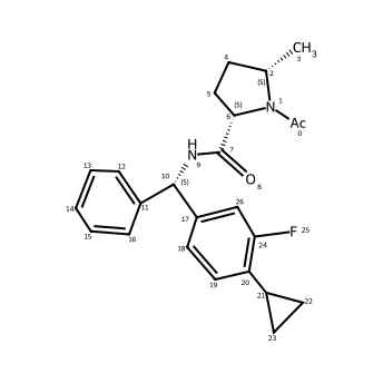 CC(=O)N1[C@@H](C)CC[C@H]1C(=O)N[C@@H](c1ccccc1)c1ccc(C2CC2)c(F)c1